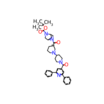 CC(C)(C)OC(=O)N1CC2CC1CN2C(=O)[C@@H]1CCCN(C2CCN(C(=O)c3cc(-c4ccccc4)nc(-c4ccccc4)c3)CC2)C1